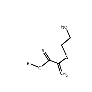 C=C(SCCC#N)C(=S)OCC